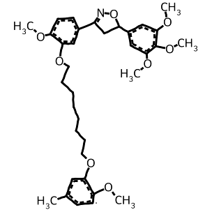 COc1[c]cc(C)cc1OCCCCCCCCOc1cc(C2=NOC(c3cc(OC)c(OC)c(OC)c3)C2)ccc1OC